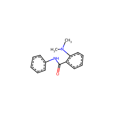 CN(C)c1ccccc1C(=O)Nc1ccccc1